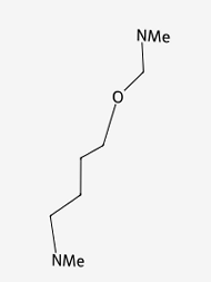 CNCCCCOCNC